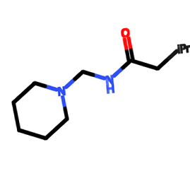 CC(C)CC(=O)NCN1CCCCC1